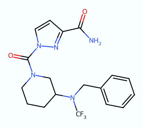 NC(=O)c1ccn(C(=O)N2CCCC(N(Cc3ccccc3)C(F)(F)F)C2)n1